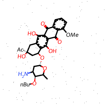 CCCCO[C@H]1C(N)C[C@H](O[C@H]2C[C@](O)(C(C)=O)Cc3c(O)c4c(c(O)c32)C(=O)c2c(OC)cccc2C4=O)OC1C